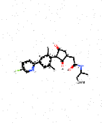 COCC(C)NC(=O)CC1CC(=O)C(c2c(C)cc(-c3ccc(F)cn3)cc2C)C1=O